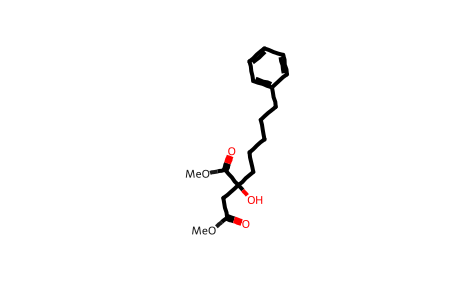 COC(=O)CC(O)(CCCCCc1ccccc1)C(=O)OC